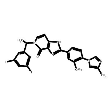 COc1cc(-c2nc3c(=O)n(C(C)c4cc(F)cc(F)c4)ccc3[nH]2)ccc1-n1cnc(C)c1